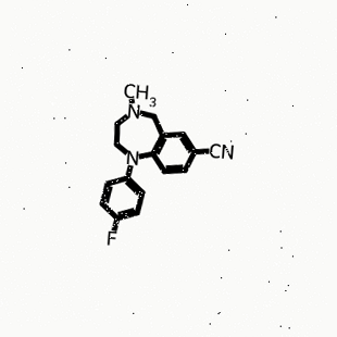 CN1CCN(c2ccc(F)cc2)c2ccc(C#N)cc2C1